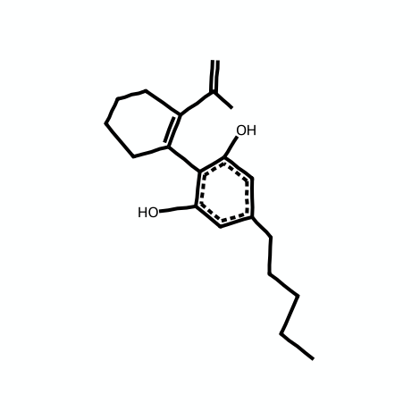 C=C(C)C1=C(c2c(O)cc(CCCCC)cc2O)CCCC1